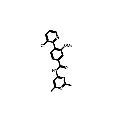 COc1cc(C(=O)Nc2cc(C)nc(C)n2)ccc1-c1ncccc1Cl